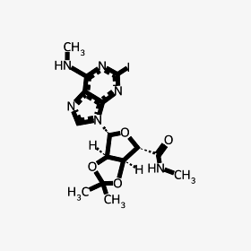 CNC(=O)[C@H]1O[C@@H](n2cnc3c(NC)nc(I)nc32)[C@@H]2OC(C)(C)O[C@@H]21